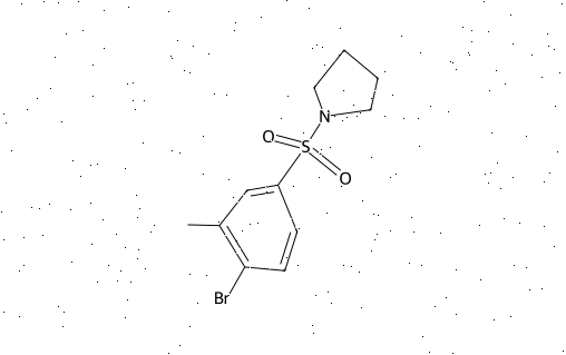 Cc1cc(S(=O)(=O)N2CCCC2)ccc1Br